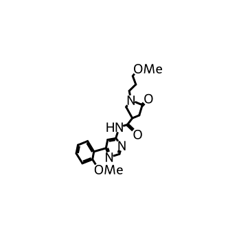 COCCCN1CC(C(=O)Nc2cc(-c3ccccc3OC)ncn2)CC1=O